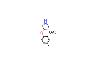 CC(=O)OC1CNCC1Oc1ccc(C)c(C)c1